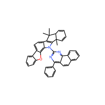 CC1(C)c2c(n(-c3nc(-c4ccccc4)c4ccc5ccccc5c4n3)c3c2ccc2c4ccccc4oc23)C2(C)C=CC=CC12